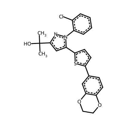 CC(C)(O)c1cc(-c2ccc(-c3ccc4c(c3)OCCO4)s2)n(-c2ccccc2Cl)n1